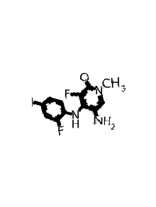 Cn1cc(N)c(Nc2ccc(I)cc2F)c(F)c1=O